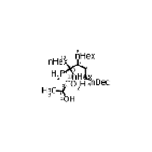 CC(O)C(=O)O.CCCCCCCCCCCCC(CCCCCC)C(P)(CCCCCC)CCCCCC